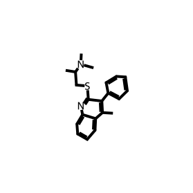 Cc1c(-c2ccccc2)c(SCC(C)N(C)C)nc2ccccc12